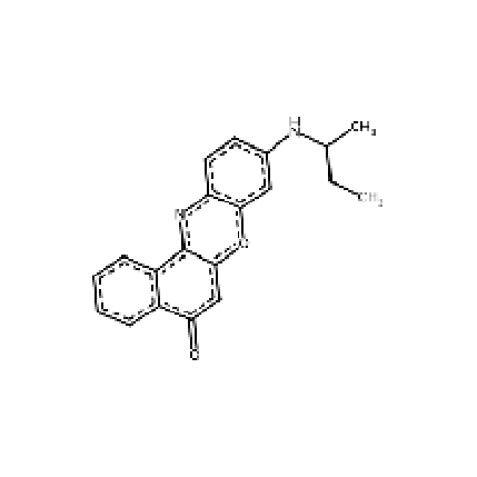 CCC(C)Nc1ccc2nc3c4ccccc4c(=O)cc-3oc2c1